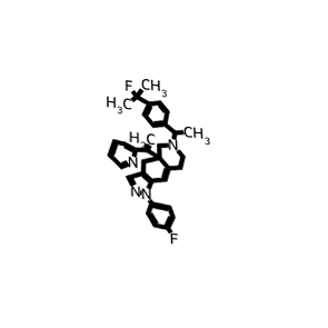 C=C(c1ccccn1)C12Cc3cnn(-c4ccc(F)cc4)c3C=C1CCN(C(C)c1ccc(C(C)(C)F)cc1)C2